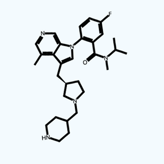 Cc1cncc2c1c(C[C@H]1CCN(CC3CCNCC3)C1)cn2-c1ccc(F)cc1C(=O)N(C)C(C)C